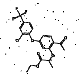 CCOC(=O)C(C)Oc1cc(Oc2ccc(C(F)(F)F)cc2Cl)ccc1C(C)=O